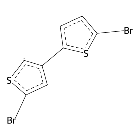 Brc1cc(-c2ccc(Br)s2)[c]s1